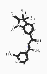 Cc1cc(/C(N)=C/C(=N)c2ccc3c(c2)N(C)C(=O)C3(C)C)ccn1